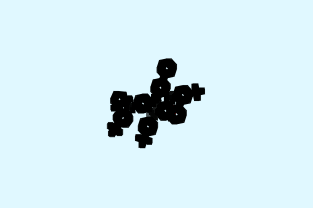 Cc1cc2c3c(c1)N(c1ccc(C(C)(C)C)cc1-c1ccccc1)c1cc(-c4ccccc4)ccc1B3c1ccc(N3c4ccc(C(C)(C)C)cc4C4(C)CCCC34C)cc1N2c1ccc(C(C)(C)C)cc1